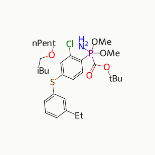 CCCCCOCC(C)CC.CCc1cccc(Sc2ccc(P(N)(OC)(OC)C(=O)OC(C)(C)C)c(Cl)c2)c1